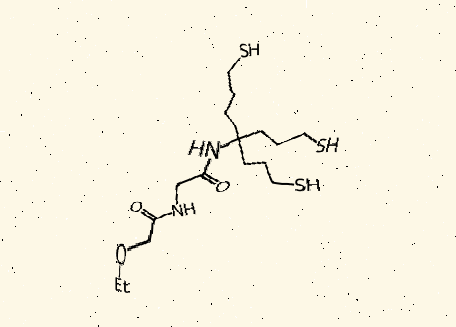 CCOCC(=O)NCC(=O)NC(CCCS)(CCCS)CCCS